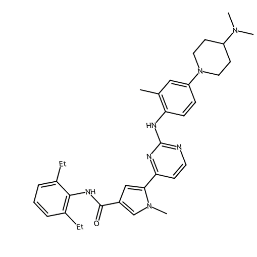 CCc1cccc(CC)c1NC(=O)c1cc(-c2ccnc(Nc3ccc(N4CCC(N(C)C)CC4)cc3C)n2)n(C)c1